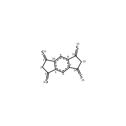 S=C1CC(=S)c2cc3c(cc21)C(=S)CC3=S